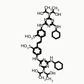 CC(O)N(c1nc(Nc2ccc(C=Cc3ccc(Nc4nc(NC5CCCCC5)nc(N(C(C)O)C(C)O)n4)cc3S(=O)(=O)O)c(S(=O)(=O)O)c2)nc(NC2CCCCC2)n1)C(C)O